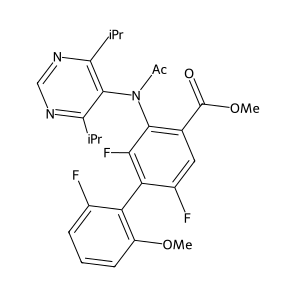 COC(=O)c1cc(F)c(-c2c(F)cccc2OC)c(F)c1N(C(C)=O)c1c(C(C)C)ncnc1C(C)C